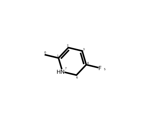 CC1=CC=C(F)CN1